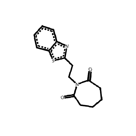 O=C1CCCCC(=O)N1CCc1nc2ccccc2s1